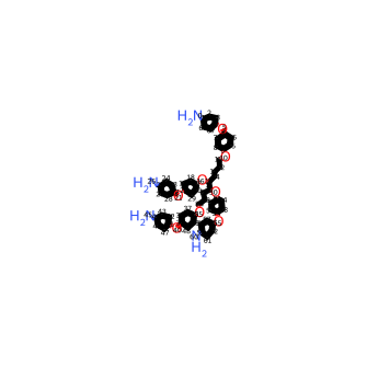 Nc1ccc(Oc2ccc(OCCCCC(Oc3ccc(Oc4ccc(N)cc4)cc3)C(CCCOc3ccc(Oc4ccc(N)cc4)cc3)Oc3ccc(Oc4ccc(N)cc4)cc3)cc2)cc1